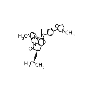 CC(C)C#Cc1cc2cnc(Nc3ccc(C4CN(C)CCO4)cc3)nc2n(Cc2nccn2C)c1=O